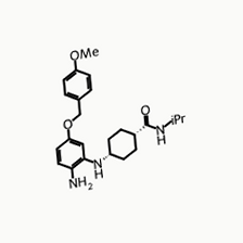 COc1ccc(COc2ccc(N)c(N[C@H]3CC[C@@H](C(=O)NC(C)C)CC3)c2)cc1